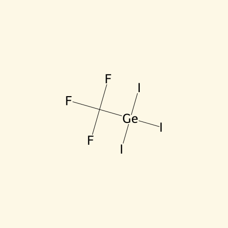 F[C](F)(F)[Ge]([I])([I])[I]